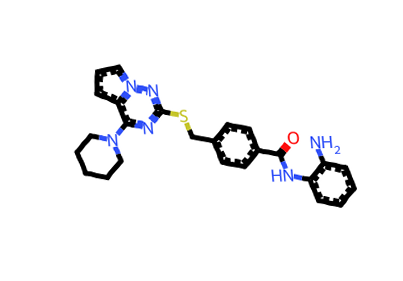 Nc1ccccc1NC(=O)c1ccc(CSc2nc(N3CCCCC3)c3cccn3n2)cc1